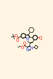 CCOC(=O)c1ncn(C2CCC2)c1C1=Cc2cc(OC)ccc2-c2c(C3CCCCC3)c3ccc(C(=O)OC(C)(C)C)cc3n2C1